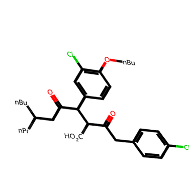 CCCCOc1ccc(C(C(=O)CC(CCC)CCCC)C(C(=O)O)C(=O)Cc2ccc(Cl)cc2)cc1Cl